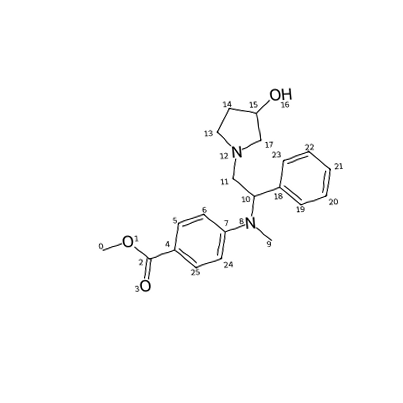 COC(=O)c1ccc(N(C)C(CN2CCC(O)C2)c2ccccc2)cc1